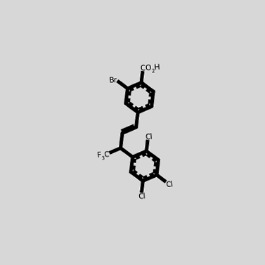 O=C(O)c1ccc(/C=C/C(c2cc(Cl)c(Cl)cc2Cl)C(F)(F)F)cc1Br